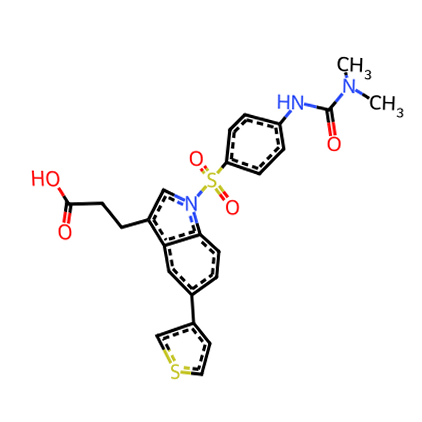 CN(C)C(=O)Nc1ccc(S(=O)(=O)n2cc(CCC(=O)O)c3cc(-c4ccsc4)ccc32)cc1